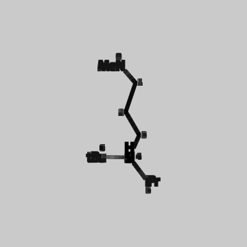 CNCCC[SiH](C(C)C)C(C)(C)C